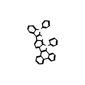 c1ccc(-n2c3ccccc3c3c4ccc5c6c7ccccc7c7ccccc7c6n(-c6ccccc6)c5c4sc32)cc1